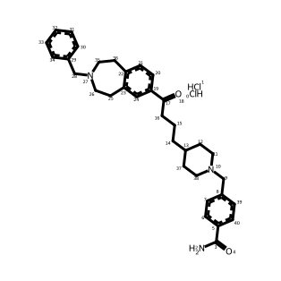 Cl.Cl.NC(=O)c1ccc(CN2CCC(CCCC(=O)c3ccc4c(c3)CCN(Cc3ccccc3)CC4)CC2)cc1